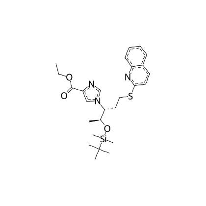 CCOC(=O)c1cn([C@H](CCSc2ccc3ccccc3n2)[C@H](C)O[Si](C)(C)C(C)(C)C)cn1